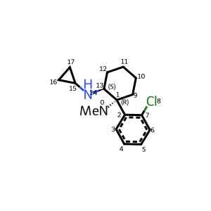 CN[C@@]1(c2ccccc2Cl)CCCC[C@@H]1NC1CC1